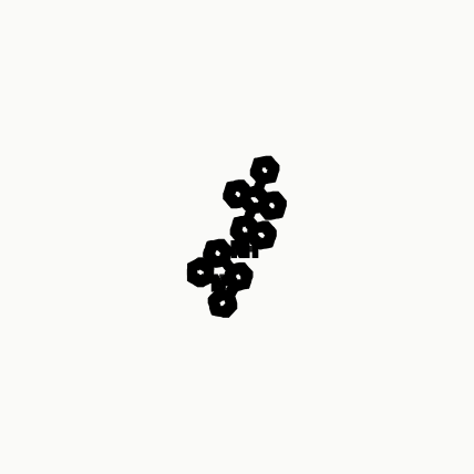 c1ccc(-c2c3ccccc3c(-c3ccc(Nc4ccccc4-c4cccc5c6ccccc6n(-c6ccccc6)c45)c4ccccc34)c3ccccc23)cc1